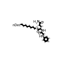 CCCCCCCCCCCCCCCCCCOC(=O)[C@@H](CCC(N)=O)NC(=O)CNc1ccccc1